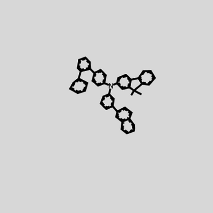 CC1(C)c2ccccc2-c2ccc(N(c3ccc(-c4ccccc4-c4ccccc4)cc3)c3cccc(-c4ccc5ccccc5c4)c3)cc21